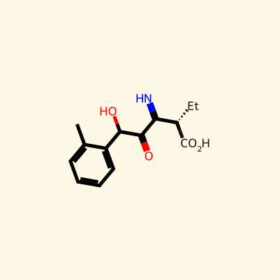 CC[C@@H](C(=N)C(=O)C(O)c1ccccc1C)C(=O)O